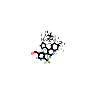 CC1(C)Cc2nc(Cl)c(-c3cc(C=O)ccc3C(F)(F)F)c(C3CCCC3)c2[C@@H](O[Si](C)(C)C(C)(C)C)C1